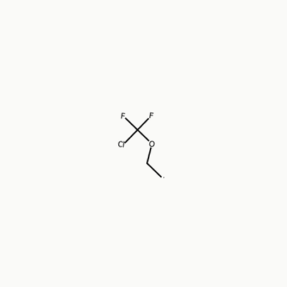 [CH2]COC(F)(F)Cl